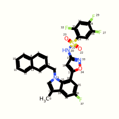 Cc1cn(Cc2ccc3ccccc3c2)c2c(-c3cc(NS(=O)(=O)c4cc(F)c(F)cc4F)no3)cc(F)cc12